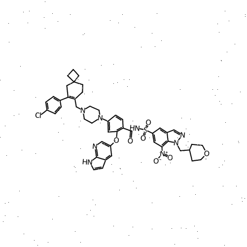 O=C(NS(=O)(=O)c1cc([N+](=O)[O-])c2c(cnn2CC2CCOCC2)c1)c1ccc(N2CCN(CC3=C(c4ccc(Cl)cc4)CC4(CCC4)CC3)CC2)cc1Oc1cnc2[nH]ccc2c1